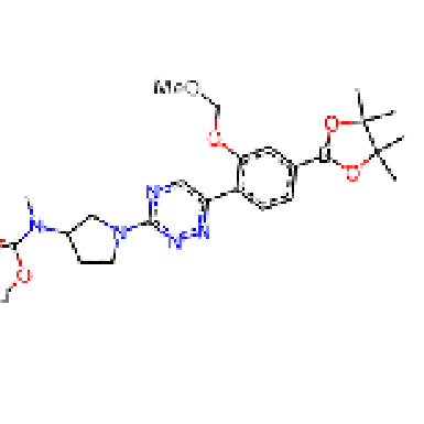 COCOc1cc(B2OC(C)(C)C(C)(C)O2)ccc1-c1cnc(N2CCC(N(C)C(=O)OC(C)(C)C)C2)nn1